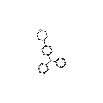 c1ccc([S+](c2ccccc2)c2ccc(N3CCOCC3)cc2)cc1